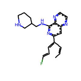 C\C=C/C(=C\C=C\F)c1cc2nccnc2c(NCC2CCCNC2)n1